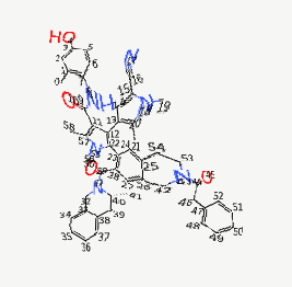 Cc1cc(O)ccc1NC(=O)c1c(-c2cc(C#N)n(C)c2C)c(-c2cc3c(cc2C(=O)N2Cc4ccccc4C[C@H]2C)CN(C(=O)Cc2ccccc2)CC3)n(C)c1C